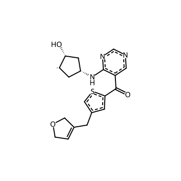 O=C(c1cc(CC2=CCOC2)cs1)c1cncnc1N[C@@H]1C[CH][C@H](O)C1